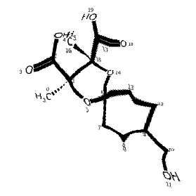 C[C@@]1(C(=O)O)OC2(CCC(CO)CC2)O[C@@]1(C)C(=O)O